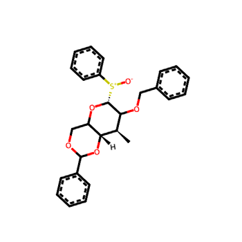 C[C@@H]1C(OCc2ccccc2)[C@@H]([S+]([O-])c2ccccc2)OC2COC(c3ccccc3)O[C@H]21